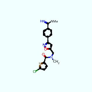 CNC(=N)c1ccc(-c2cc(CN(C)C(=O)c3ccc(Cl)s3)on2)cc1